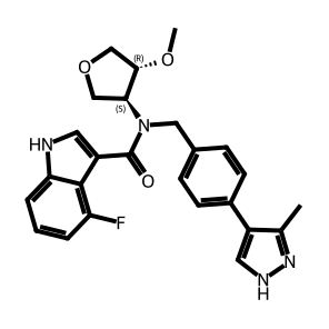 CO[C@H]1COC[C@@H]1N(Cc1ccc(-c2c[nH]nc2C)cc1)C(=O)c1c[nH]c2cccc(F)c12